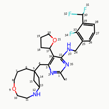 Cc1nc(CC23CCCOCCNC(C2)C3)c(C2CCCO2)c(NCc2cccc(C(F)F)c2F)n1